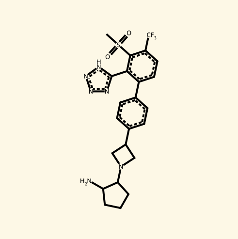 CS(=O)(=O)c1c(C(F)(F)F)ccc(-c2ccc(C3CN(C4CCCC4N)C3)cc2)c1-c1nnn[nH]1